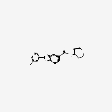 Cc1cncc(-c2nc3ccc(C(=O)NC4CCOCC4)cc3s2)c1